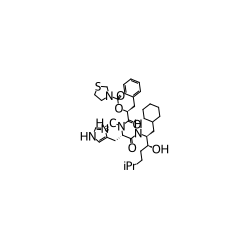 CC(C)CC[C@H](O)[C@H](CC1CCCCC1)NC(=O)[C@H](Cc1c[nH]cn1)N(C)C(=O)[C@H](Cc1ccccc1)OC(=O)N1CCSC1